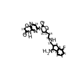 NC1c2cccc(F)c2CC1CNCCC1CN(c2cnc3c(n2)NC(=O)CO3)C(=O)O1